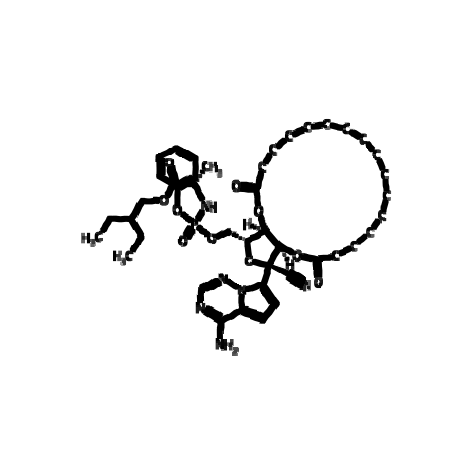 CCC(CC)COC(=O)[C@H](C)NP(=O)(OC[C@H]1O[C@@](C#N)(c2ccc3c(N)ncnn23)[C@@H]2OC(=O)CCCCCCCCCCCCCCC(=O)O[C@@H]21)Oc1ccccc1